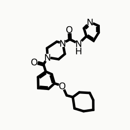 O=C(Nc1cccnc1)N1CCN(C(=O)c2cccc(OCC3CCCCCC3)c2)CC1